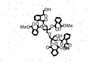 COC(=O)c1ccccc1C(=O)OCC(CO)(COCC(COC(=O)c1ccccc1C(=O)CO)(COC(=O)c1ccccc1C(=O)OC)COC(=O)c1ccccc1C(=O)OC)COC(=O)c1ccccc1C(=O)CO